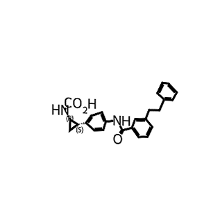 O=C(O)N[C@@H]1C[C@H]1c1ccc(NC(=O)c2cccc(CCc3ccccc3)c2)cc1